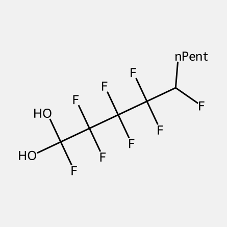 CCCCCC(F)C(F)(F)C(F)(F)C(F)(F)C(O)(O)F